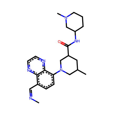 C/N=C\c1ccc(N2CC(C)CC(C(=O)NC3CCCN(C)C3)C2)c2nccnc12